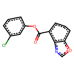 O=C(Oc1cccc(Cl)c1)c1cccc2ocnc12